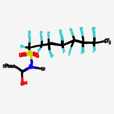 CCCCCC(O)N(CC)S(=O)(=O)C(F)(F)C(F)(F)C(F)(F)C(F)(F)C(F)(F)C(F)(F)C(F)(F)C(F)(F)F